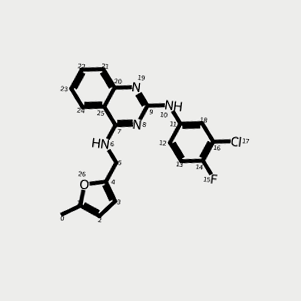 Cc1ccc(CNc2nc(Nc3ccc(F)c(Cl)c3)nc3ccccc23)o1